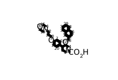 O=C(O)N1CCC(c2ccc(OCCCN3CCOCC3)cc2)C(OCc2ccc3ccccc3c2)C1